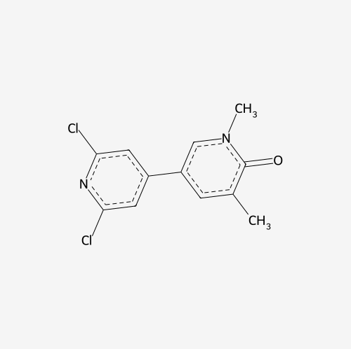 Cc1cc(-c2cc(Cl)nc(Cl)c2)cn(C)c1=O